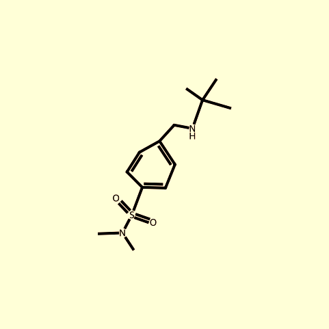 CN(C)S(=O)(=O)c1ccc(CNC(C)(C)C)cc1